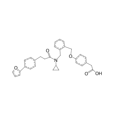 O=C(O)Cc1ccc(OCc2ccccc2CN(C(=O)CCc2ccc(-c3ccco3)cc2)C2CC2)cc1